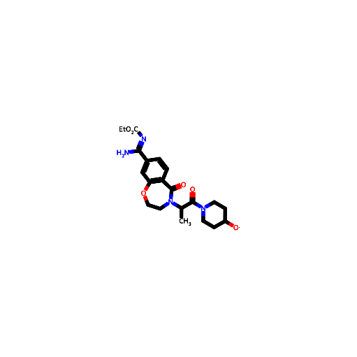 CCOC(=O)/N=C(\N)c1ccc2c(c1)OCCN(C(C)C(=O)N1CCC([O])CC1)C2=O